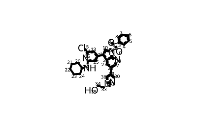 O=S(=O)(c1ccccc1)n1cc(-c2cc(Cl)nc(NC3CCCCC3)c2)c2cc(-c3cnn(CCO)c3)cnc21